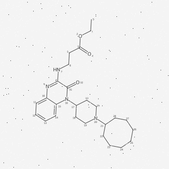 CCOC(=O)CCNc1nc2ccccc2n(C2CCN(C3CCCCCCC3)CC2)c1=O